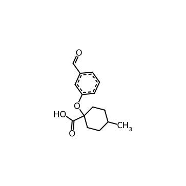 CC1CCC(Oc2cccc(C=O)c2)(C(=O)O)CC1